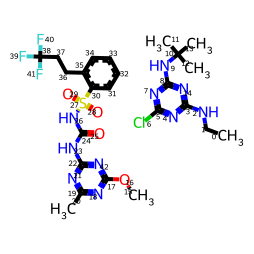 CCNc1nc(Cl)nc(NC(C)(C)C)n1.COc1nc(C)nc(NC(=O)NS(=O)(=O)c2ccccc2CCC(F)(F)F)n1